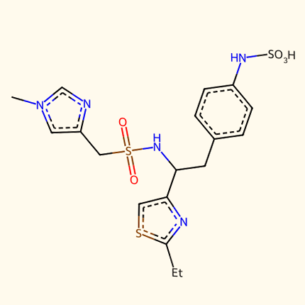 CCc1nc(C(Cc2ccc(NS(=O)(=O)O)cc2)NS(=O)(=O)Cc2cn(C)cn2)cs1